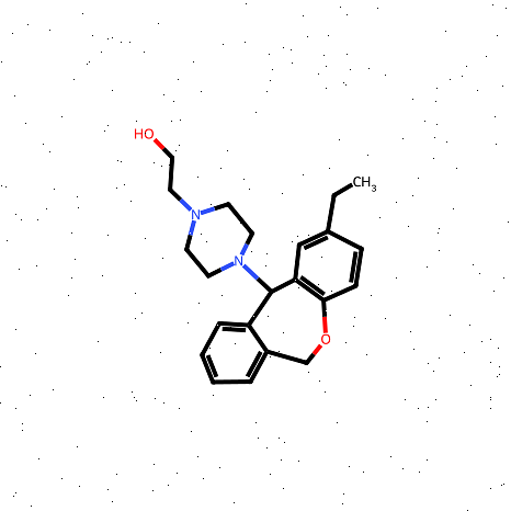 CCc1ccc2c(c1)C(N1CCN(CCO)CC1)c1ccccc1CO2